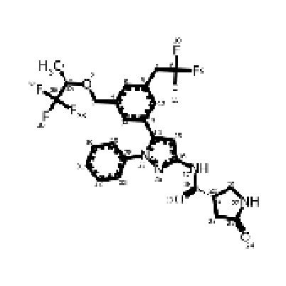 C[C@@H](OCc1cc(CC(F)(F)F)cc(-c2cc(NC(=O)[C@@H]3CNC(=O)C3)nn2-c2ccccc2)c1)C(F)(F)F